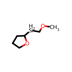 COC[SiH2]C1CCCO1